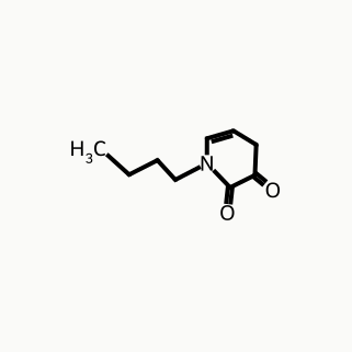 CCCCN1C=CCC(=O)C1=O